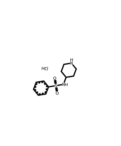 Cl.O=S(=O)(NC1CCNCC1)c1ccccc1